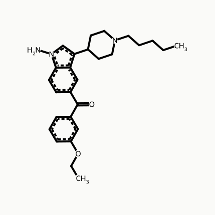 CCCCCN1CCC(c2cn(N)c3ccc(C(=O)c4cccc(OCC)c4)cc23)CC1